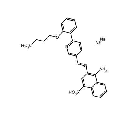 Nc1c(N=Nc2ccc(-c3ccccc3OCCCC(=O)O)nc2)cc(S(=O)(=O)O)c2ccccc12.[Na].[Na]